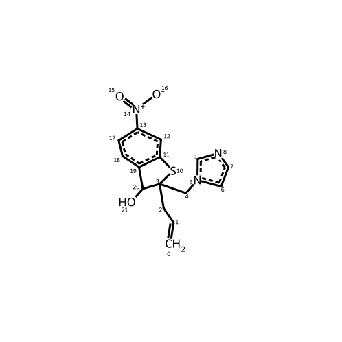 C=CCC1(Cn2ccnc2)Sc2cc([N+](=O)[O-])ccc2C1O